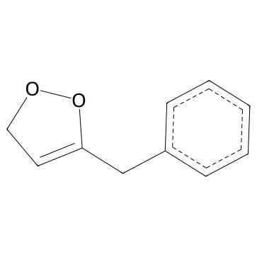 C1=C(Cc2ccccc2)OOC1